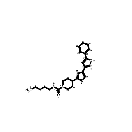 CCCCCNC(=O)N1CCC(c2nc(-c3cc(C4=CCCC=C4)on3)cs2)CC1